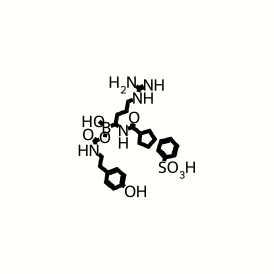 N=C(N)NCCCC(NC(=O)C1CCCC1)B(O)OC(=O)NCCc1ccc(O)cc1.O=S(=O)(O)c1ccccc1